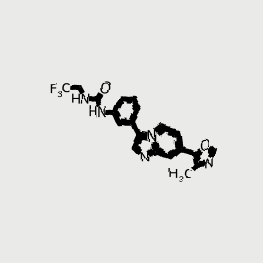 Cc1ncoc1-c1ccn2c(-c3cccc(NC(=O)NCC(F)(F)F)c3)cnc2c1